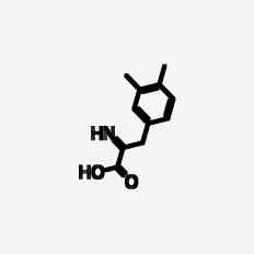 Cc1ccc(CC(=N)C(=O)O)cc1C